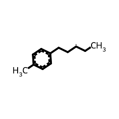 CC[CH]CCc1ccc(C)cc1